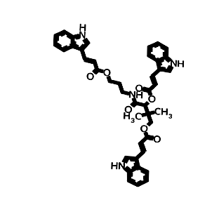 CC(C)(COC(=O)/C=C/c1c[nH]c2ccccc12)C(OC(=O)/C=C/c1c[nH]c2ccccc12)C(=O)NCCCOC(=O)/C=C/c1c[nH]c2ccccc12